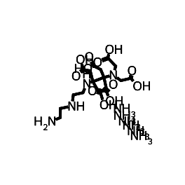 N.N.N.N.N.N.NCCNCCNC(CC(=O)O)(CC(=O)O)C(CC(=O)O)(CC(=O)O)N(CC(=O)O)CC(=O)O